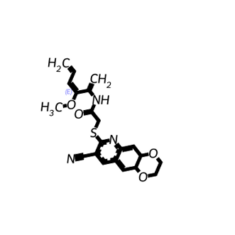 C=C/C=C(/OC)C(=C)NC(=O)CSc1nc2c(cc1C#N)=CC1OCCOC1C=2